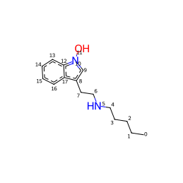 CCCCCNCCc1cn(O)c2ccccc12